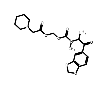 CC(C(=O)c1ccc2c(c1)OCO2)N(C)C(=O)OCOC(=O)CN1CCCCC1